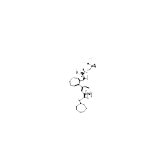 O=C(c1cnn2ccc(C3=CCCCc4nc(NCC5(C(F)(F)F)CC5)ncc43)cc12)C1CCCCCC1